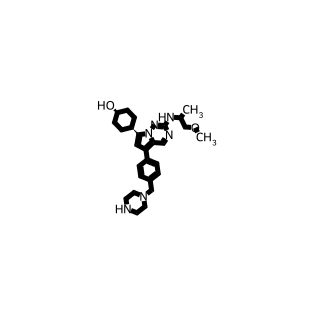 COCC(C)Nc1ncc2c(-c3ccc(CN4CCNCC4)cc3)cc([C@H]3CC[C@H](O)CC3)n2n1